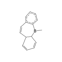 CB1c2ccccc2C=CC2C=CC=CC12